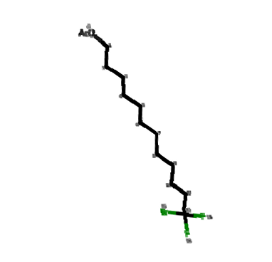 CC(=O)OCCCCCCCCCCCC(F)(F)Br